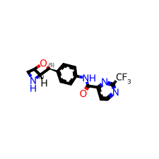 O=C(Nc1ccc([C@@H]2OC3CN[C@H]32)cc1)c1ccnc(C(F)(F)F)n1